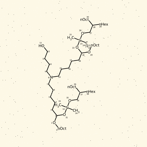 CCCCCCCCOC(CCCCCN(CCCCO)CCCCCC(OCCCCCCCC)O[Si](C)(C)OCC(CCCCCC)CCCCCCCC)O[Si](C)(C)OCC(CCCCCC)CCCCCCCC